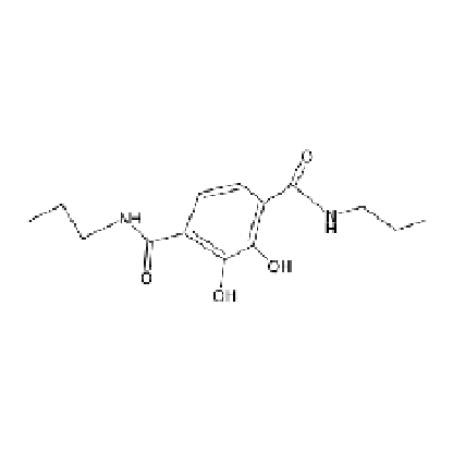 CCCNC(=O)c1ccc(C(=O)NCCC)c(O)c1O